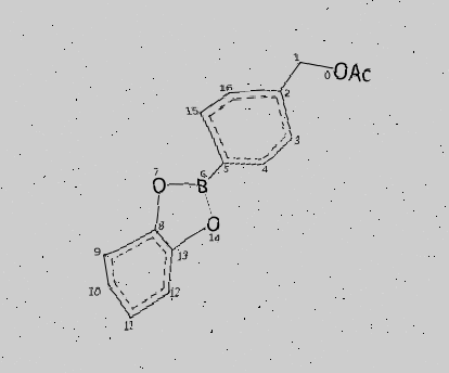 CC(=O)OCc1ccc(B2Oc3ccccc3O2)cc1